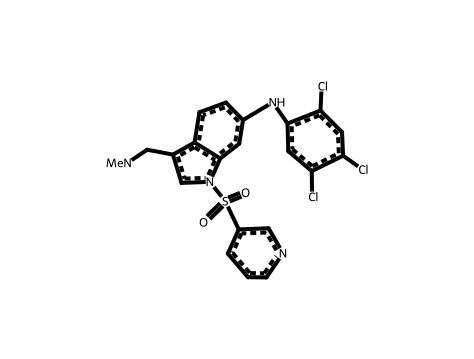 CNCc1cn(S(=O)(=O)c2cccnc2)c2cc(Nc3cc(Cl)c(Cl)cc3Cl)ccc12